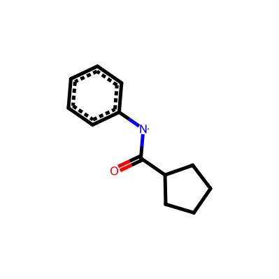 O=C([N]c1ccccc1)C1CCCC1